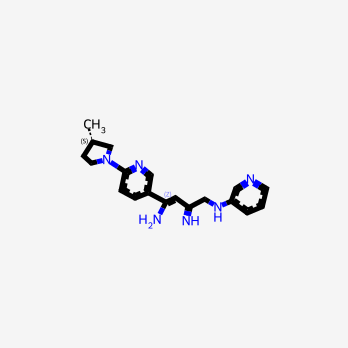 C[C@H]1CCN(c2ccc(/C(N)=C/C(=N)CNc3cccnc3)cn2)C1